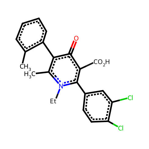 CCn1c(C)c(-c2ccccc2C)c(=O)c(C(=O)O)c1-c1ccc(Cl)c(Cl)c1